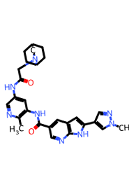 Cc1ncc(NC(=O)CN2CC3CCC2CC3)cc1NC(=O)c1cnc2[nH]c(-c3cnn(C)c3)cc2c1